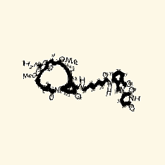 CO[C@H]1/C=C\C=C(/C)C(=O)NC2=CC(=O)C(NCCCCCC(=O)Nc3cccc4c3CN(C3CCC(=O)NC3=O)C4=O)=C(C[C@@H](C)C[C@H](OC)[C@H]3OC(=C[C@@H]3C)[C@@H]1OC(N)=O)C2=O